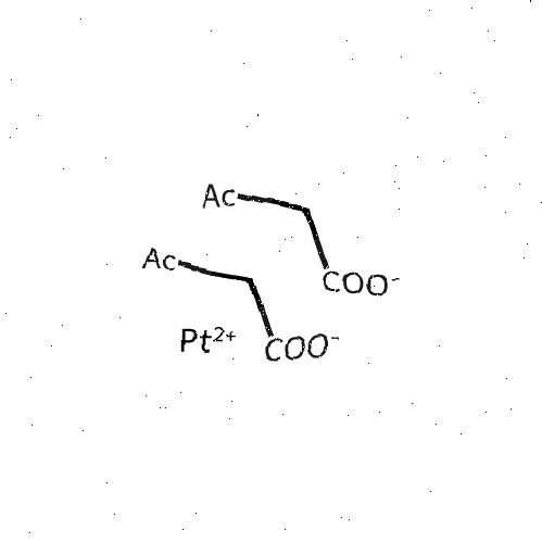 CC(=O)CC(=O)[O-].CC(=O)CC(=O)[O-].[Pt+2]